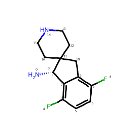 N[C@H]1c2c(F)ccc(F)c2CC12CCNCC2